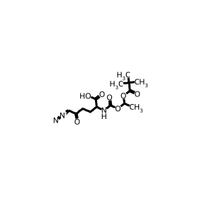 CC(OC(=O)NC(CCC(=O)C=[N+]=[N-])C(=O)O)OC(=O)C(C)(C)C